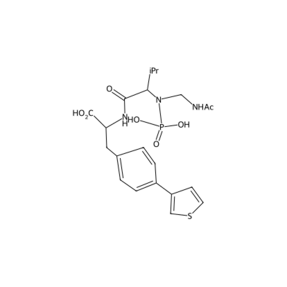 CC(=O)NCN(C(C(=O)NC(Cc1ccc(-c2ccsc2)cc1)C(=O)O)C(C)C)P(=O)(O)O